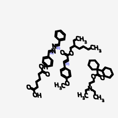 C(=N\N=C\c1ccccc1)/c1ccccc1.CCCCC(CC)COC(=O)/C=C/c1ccc(OC)cc1.CCN(CC)CCOC(=O)C1(C2CCCCC2)CCCCC1.O=C(O)CCCCC(=O)O